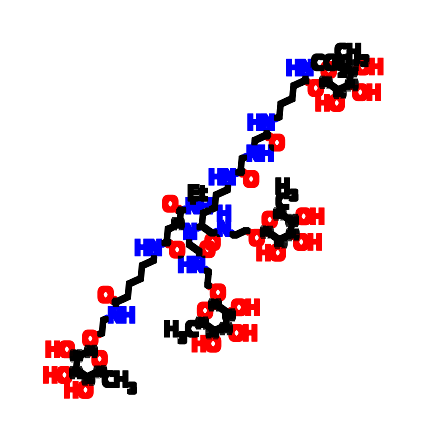 CCNC(=O)[C@H](CC(=O)NCCCCCC(=O)NCCO[C@@H]1O[C@@H](C)[C@@H](O)[C@@H](O)[C@@H]1O)N(CC(=O)NCCO[C@@H]1O[C@@H](C)[C@@H](O)[C@@H](O)[C@@H]1O)C(CCCCNC(=O)CNCC(=O)NCCCCC(NC(=O)O)O[C@@H]1O[C@@H](C)[C@@H](O)[C@@H](O)[C@@H]1O)C(=O)NCCO[C@@H]1O[C@@H](C)[C@@H](O)[C@@H](O)[C@@H]1O